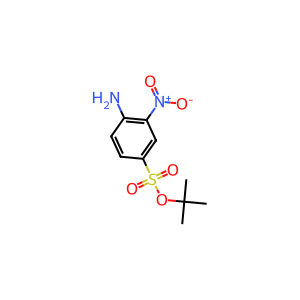 CC(C)(C)OS(=O)(=O)c1ccc(N)c([N+](=O)[O-])c1